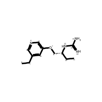 CCc1cncc(OC[C@@H](CC)NC(=N)N)c1